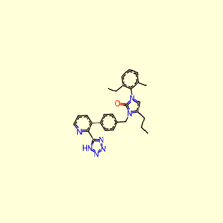 CCCc1cn(-c2c(C)cccc2CC)c(=O)n1Cc1ccc(-c2cccnc2-c2nnn[nH]2)cc1